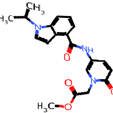 COC(=O)Cn1cc(NC(=O)c2cccc3c2ccn3C(C)C)ccc1=O